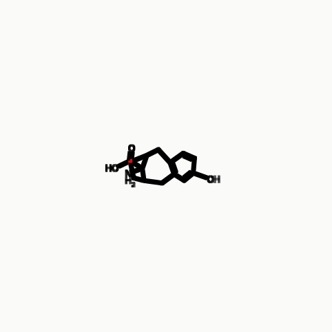 NC1(C(=O)O)C2CCC1Cc1cc(O)ccc1C2